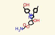 Cc1ccc(-c2cc(C3(O)CCC(OC(=O)CN)CC3)nn2-c2ccc(CO)cc2)cc1